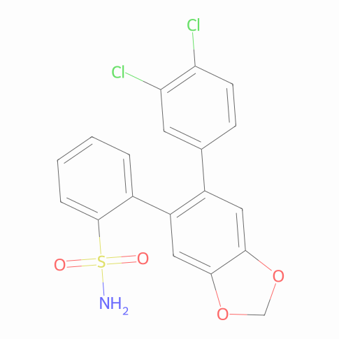 NS(=O)(=O)c1ccccc1-c1cc2c(cc1-c1ccc(Cl)c(Cl)c1)OCO2